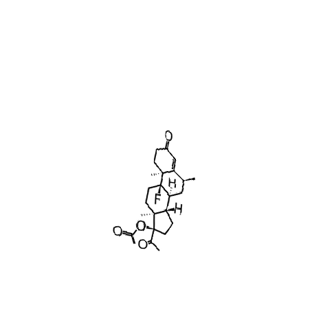 CC(=O)O[C@]1(C(C)=O)CC[C@H]2[C@@H]3C[C@H](C)C4=CC(=O)CC[C@]4(C)[C@@]3(F)CC[C@@]21C